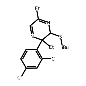 CCC1=NC(SC(C)CC)C(CC)(c2ccc(Cl)cc2Cl)N=C1